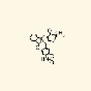 CN1CCC[C@H](C[C@@H]2c3ccccc3C(=O)N2Cc2ccc3[nH]c(=O)oc3c2)C1=O